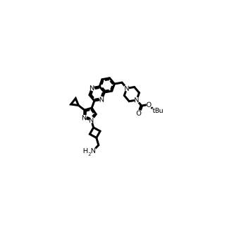 CC(C)(C)OC(=O)N1CCN(Cc2ccc3ncc(-c4cn(C5CC(CN)C5)nc4C4CC4)nc3c2)CC1